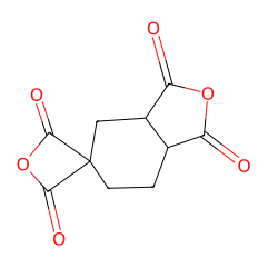 O=C1OC(=O)C2CC3(CCC12)C(=O)OC3=O